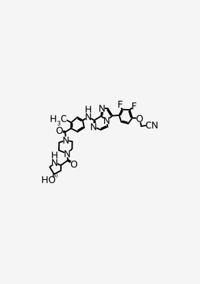 Cc1cc(Nc2nccn3c(-c4ccc(OCC#N)c(F)c4F)cnc23)ccc1C(=O)N1CCN(C(=O)C2C[C@H](O)CN2)CC1